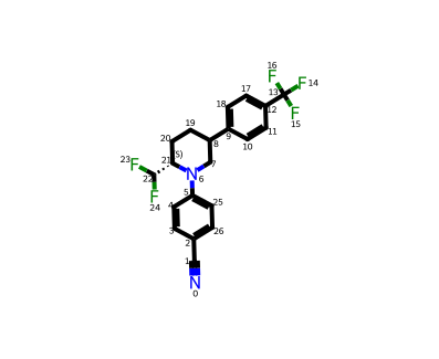 N#Cc1ccc(N2CC(c3ccc(C(F)(F)F)cc3)CC[C@H]2C(F)F)cc1